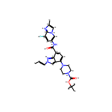 C/C=C/n1cc2c(N3CCN(C(=O)OC(C)(C)C)CC3)ccc(C(=O)Nc3cc(F)c4nc(C)cn4c3)c2n1